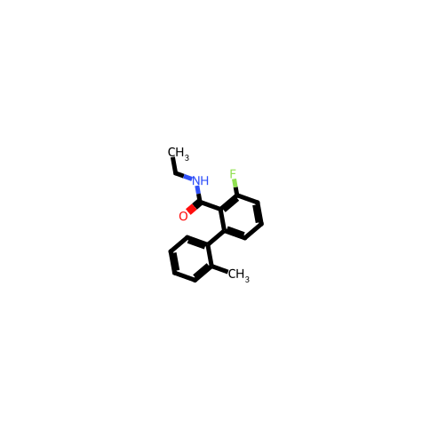 CCNC(=O)c1c(F)cccc1-c1ccccc1C